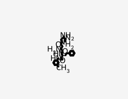 Cc1cccc(NC(=O)[C@H](CCc2ccccc2)NC(=O)[C@@H](N)CC(=O)N2C[C@@H](N)[C@@H](N)C2)c1